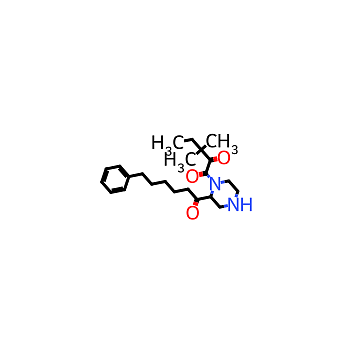 CCC(C)(C)C(=O)C(=O)N1CCNCC1C(=O)CCCCCc1ccccc1